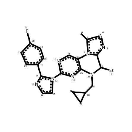 CCC1c2nnc(C)n2-c2cnc(-n3ccnc3-c3ccc(F)cc3)nc2N1CC1CC1